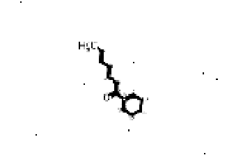 CCCCCCC(=O)C1=CCCCC1